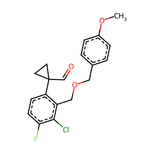 COc1ccc(COCc2c(C3(C=O)CC3)ccc(F)c2Cl)cc1